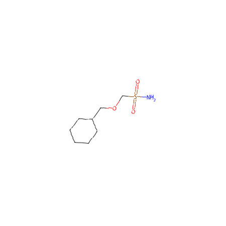 NS(=O)(=O)COCC1CCCCC1